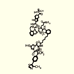 Cc1ncsc1-c1ccc([C@H](C)NC(=O)[C@@H]2C[C@@H](O)CN2C(=O)[C@@H](NC(=O)CCCCCc2cccc(NC(=O)[C@H](CCC(N)=O)NC(=O)[C@@H]3Cc4cccc5c4N3C(=O)[C@@H](NC(=O)c3cc4cc(C(=O)P(=O)(O)O)ccc4[nH]3)CC5)c2C)C(C)(C)C)cc1